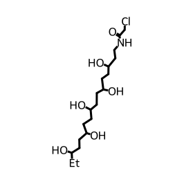 [CH2]CC(O)CCC(O)CCC(O)CCC(O)CCC(O)CCNC(=O)CCl